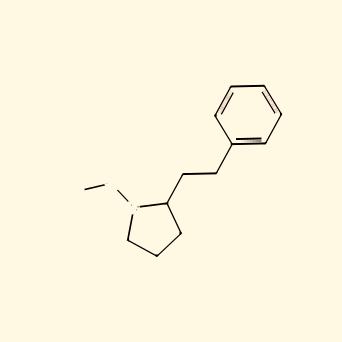 CON1CCCC1CCc1ccccc1